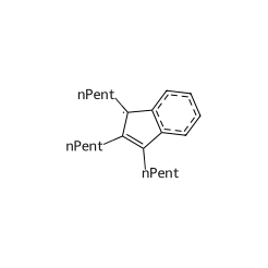 CCCCC[C]1C(CCCCC)=C(CCCCC)c2ccccc21